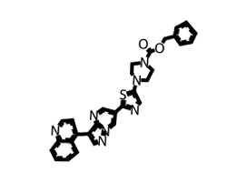 O=C(OCc1ccccc1)N1CCN(c2cnc(-c3cnc4c(-c5ccnc6ccccc56)cnn4c3)s2)CC1